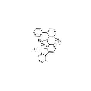 Cc1cccc(-c2ccccc2)c1N(c1c(C)ccc2c1C(C)(C)c1ccccc1-2)C(C)(C)C